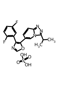 CC(C)c1nnc2ccc(-c3ocnc3-c3cc(F)ccc3F)cn12.O=S(=O)(O)O